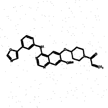 C=CC(=O)N1CCC(Oc2cc3c(Nc4cccc(-c5cnco5)c4)ncnc3cc2OC)CC1